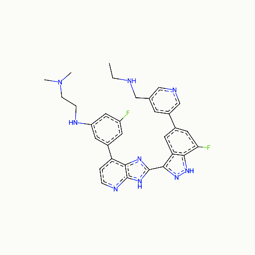 CCNCc1cncc(-c2cc(F)c3[nH]nc(-c4nc5c(-c6cc(F)cc(NCCN(C)C)c6)ccnc5[nH]4)c3c2)c1